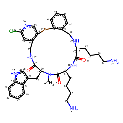 CN1C(=O)[C@H](CCCCN)NC(=O)[C@H](CCCCN)NCc2ccccc2Sc2cnc(Cl)cc2CNC(=O)[C@@H]1Cc1c[nH]c2ccccc12